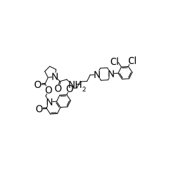 NCC(=O)N1CCCC1C(=O)OCn1c(=O)ccc2ccc(OCCCCN3CCN(c4cccc(Cl)c4Cl)CC3)cc21